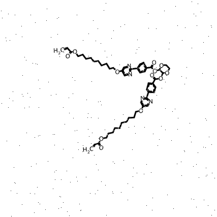 C=CC(=O)OCCCCCCCCCCOc1cnc(-c2ccc(C(=O)OC3OCCOC3OC(=O)c3ccc(-c4ncc(OCCCCCCCCCCOC(=O)C=C)cn4)cc3)cc2)nc1